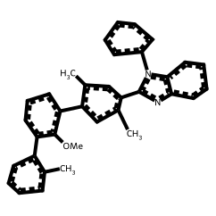 COc1c(-c2ccccc2C)cccc1-c1cc(C)c(-c2nc3ccccc3n2-c2ccccc2)cc1C